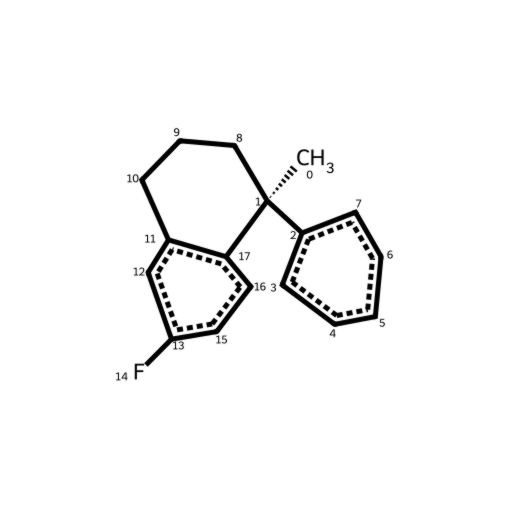 C[C@@]1(c2ccccc2)CCCc2cc(F)ccc21